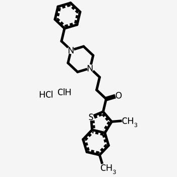 Cc1ccc2sc(C(=O)CCN3CCN(Cc4ccccc4)CC3)c(C)c2c1.Cl.Cl